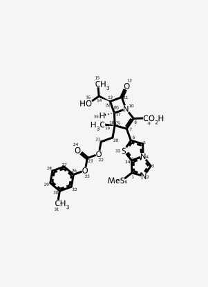 CSc1ncn2cc(C3=C(C(=O)O)N4C(=O)[C@H](C(C)O)[C@@H]4[C@@]3(C)CCOC(=O)Oc3cccc(C)c3)sc12